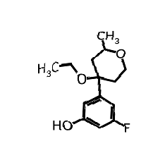 CCOC1(c2cc(O)cc(F)c2)CCOC(C)C1